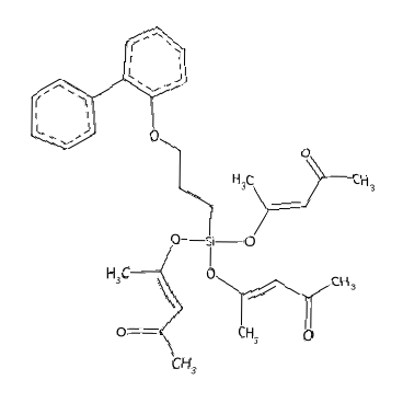 CC(=O)C=C(C)O[Si](CCCOc1ccccc1-c1ccccc1)(OC(C)=CC(C)=O)OC(C)=CC(C)=O